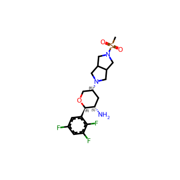 CS(=O)(=O)N1CC2CN([C@H]3CO[C@H](c4cc(F)cc(F)c4F)[C@@H](N)C3)CC2C1